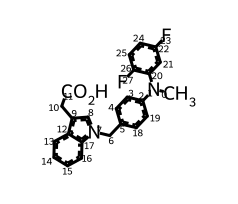 CN(c1ccc(Cn2cc(CC(=O)O)c3ccccc32)cc1)c1cc(F)ccc1F